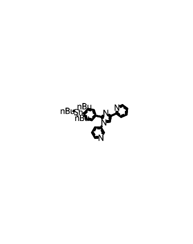 CCC[CH2][Sn]([CH2]CCC)([CH2]CCC)[c]1ccc(-c2nc(-c3ccccn3)cn2-c2cccnc2)cc1